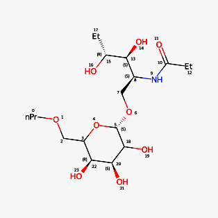 CCCOCC1O[C@H](OC[C@H](NC(=O)CC)[C@H](O)[C@H](O)CC)C(O)[C@@H](O)[C@H]1O